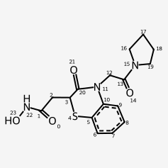 O=C(CC1Sc2ccccc2N(CC(=O)N2CCCC2)C1=O)NO